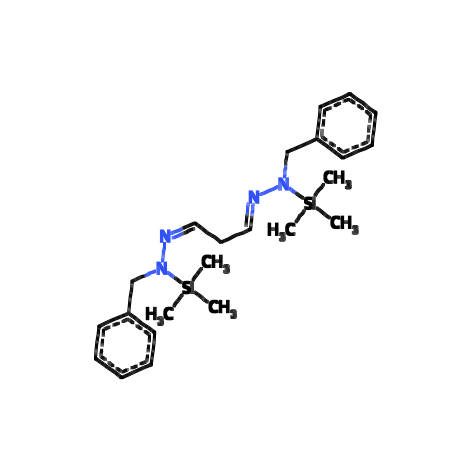 C[Si](C)(C)N(Cc1ccccc1)/N=C\C/C=N/N(Cc1ccccc1)[Si](C)(C)C